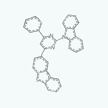 c1ccc(-c2cc(-c3ccc4sc5ccccc5c4c3)nc(-n3c4ccccc4c4ccccc43)n2)cc1